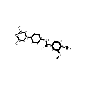 COc1cc(C(=O)NC2CCC(N3C[C@@H](C)O[C@@H](C)C3)CC2)ccc1N